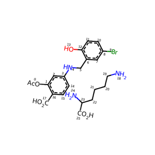 CC(=O)Oc1cc(NCc2cc(Br)ccc2O)ccc1C(=O)O.NCCCCC(N)C(=O)O